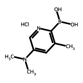 Cc1cc(N(C)C)cnc1B(O)O.Cl